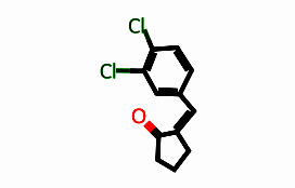 O=C1CCCC1=Cc1ccc(Cl)c(Cl)c1